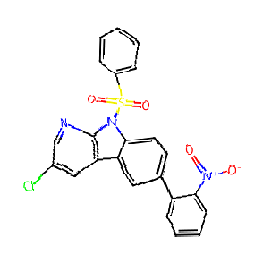 O=[N+]([O-])c1ccccc1-c1ccc2c(c1)c1cc(Cl)cnc1n2S(=O)(=O)c1ccccc1